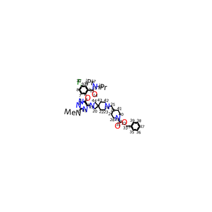 CNc1nnc(Oc2ccc(F)cc2C(=O)N(C(C)C)C(C)C)c(N2CC3(CCN(CC4CCN(C(=O)OCc5ccccc5)CC4)CC3)C2)n1